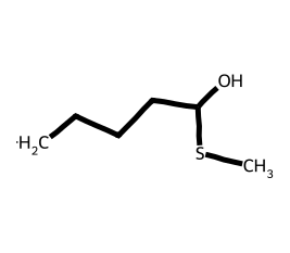 [CH2]CCCC(O)SC